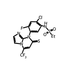 CCS(=O)(=O)Nc1cc(-n2c(=S)cc(C(F)(F)F)n3ccnc23)c(F)cc1Cl